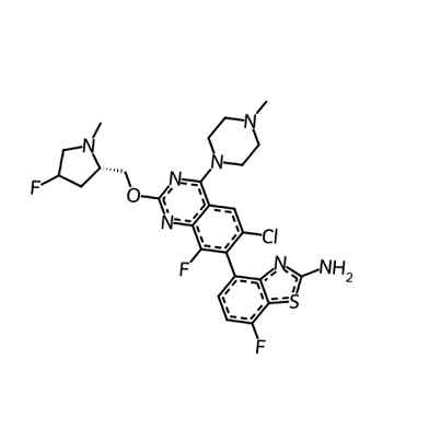 CN1CCN(c2nc(OC[C@@H]3CC(F)CN3C)nc3c(F)c(-c4ccc(F)c5sc(N)nc45)c(Cl)cc23)CC1